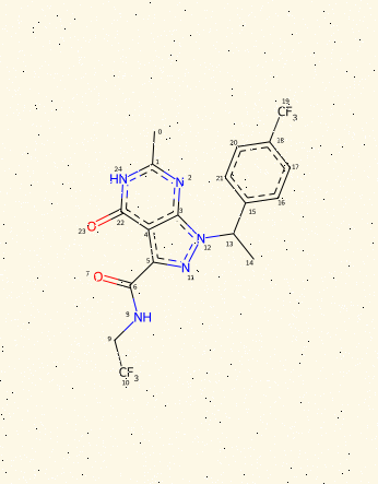 Cc1nc2c(c(C(=O)NCC(F)(F)F)nn2C(C)c2ccc(C(F)(F)F)cc2)c(=O)[nH]1